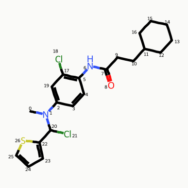 CN(c1ccc(NC(=O)CCC2CCCCC2)c(Cl)c1)C(Cl)c1cccs1